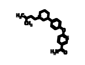 CC(C)CCN1CCCC(c2ccc(Oc3ccc(C(N)=O)cn3)cc2)C1